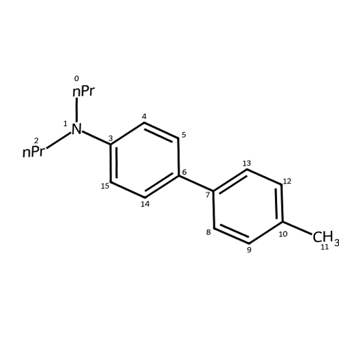 CCCN(CCC)c1ccc(-c2ccc(C)cc2)cc1